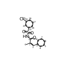 CC(=Cc1ccccc1)C(=O)NS(=O)(=O)c1cccc(Cl)c1